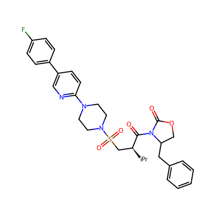 CC(C)[C@@H](CS(=O)(=O)N1CCN(c2ccc(-c3ccc(F)cc3)cn2)CC1)C(=O)N1C(=O)OCC1Cc1ccccc1